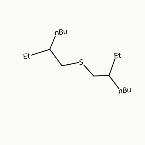 CCCCC(CC)CSCC(CC)CCCC